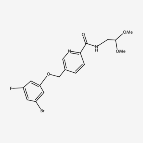 COC(CNC(=O)c1ccc(COc2cc(F)cc(Br)c2)cn1)OC